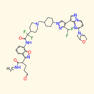 CNC(=O)C(CCC=O)c1noc2c(NC(=O)C(F)(F)C3CCN(CC4CCC(n5cc(-c6cnn7ccc(N8CC9CC8CO9)nc67)c(C(F)F)n5)CC4)CC3)cccc12